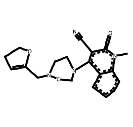 Cn1c(=O)c(C#N)c(N2CCN(CC3=CCCO3)CC2)c2ccccc21